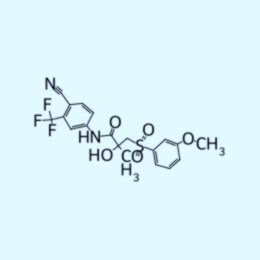 COc1cccc(S(=O)(=O)CC(C)(O)C(=O)Nc2ccc(C#N)c(C(F)(F)F)c2)c1